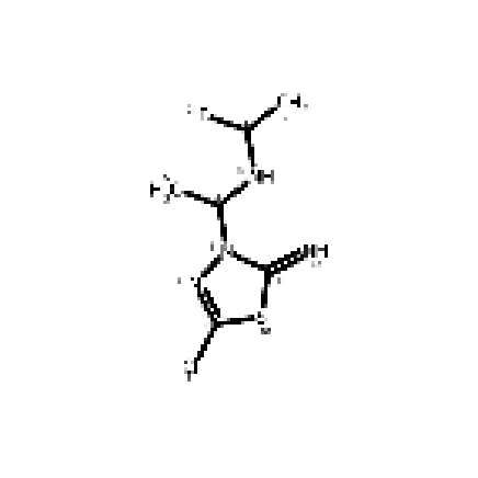 CC(F)NC(C)n1nc(Cl)sc1=N